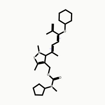 C=C(C)/C(=C\C=C(/C)C1C(COC(=O)N(C)C2CCCC2)=C(C)SN1C)OC1CCCCC1